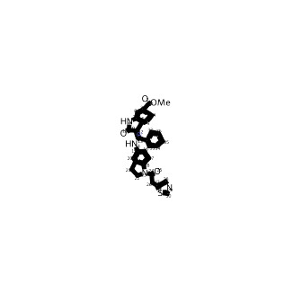 COC(=O)c1ccc2c(c1)NC(=O)/C2=C(\Nc1ccc2c(c1)CCN2C(=O)Cc1cncs1)c1ccccc1